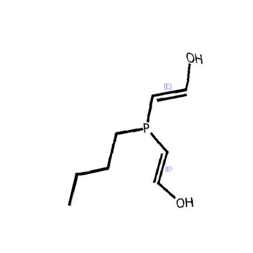 CCCCP(/C=C/O)/C=C/O